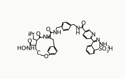 CC(C)CC1C(=O)NC(C(=O)NCc2ccc(CNC(=O)c3ccc(/C(=N/N)c4ccccc4S(=O)(=O)O)nc3)cc2)Cc2ccc(cc2)OCCCC1C(=O)NO